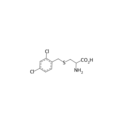 NC(CSCc1ccc(Cl)cc1Cl)C(=O)O